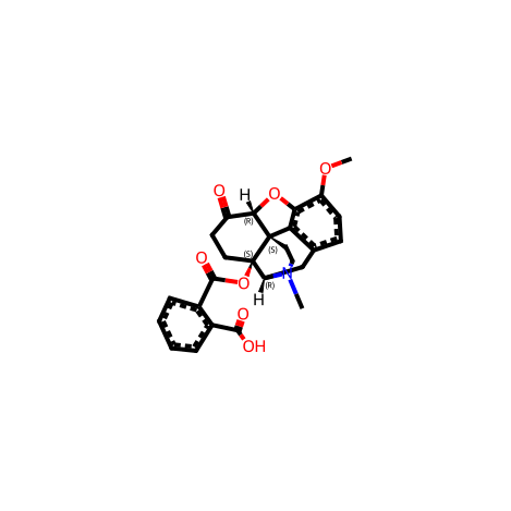 COc1ccc2c3c1O[C@H]1C(=O)CC[C@@]4(OC(=O)c5ccccc5C(=O)O)[C@@H](C2)N(C)CC[C@]314